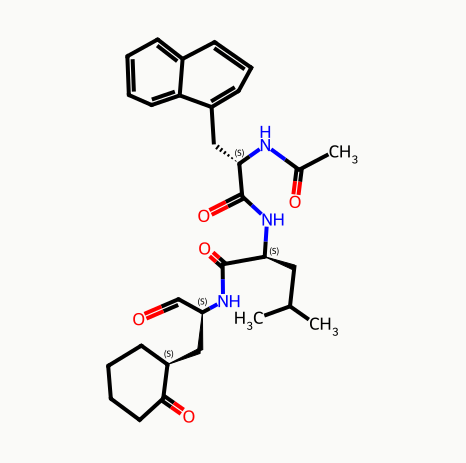 CC(=O)N[C@@H](Cc1cccc2ccccc12)C(=O)N[C@@H](CC(C)C)C(=O)N[C@H](C=O)C[C@@H]1CCCCC1=O